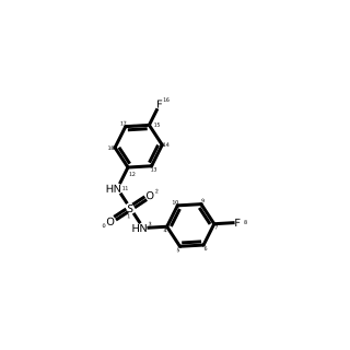 O=S(=O)(Nc1ccc(F)cc1)Nc1ccc(F)cc1